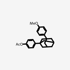 COc1ccc(C23CC4CC(C2)CC(c2ccc(OC(C)=O)cc2)(C4)C3)cc1